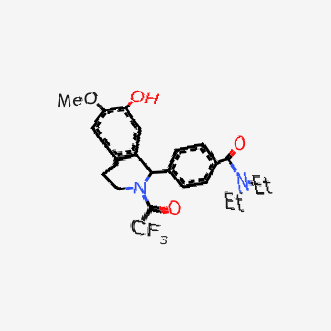 CCN(CC)C(=O)c1ccc(C2c3cc(O)c(OC)cc3CCN2C(=O)C(F)(F)F)cc1